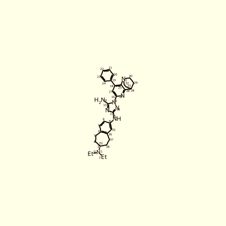 CCN(CC)[C@H]1CCc2ccc(Nc3nc(N)n(-c4cc(-c5ccccc5)c5c(n4)C4CCN5CC4)n3)cc2CC1